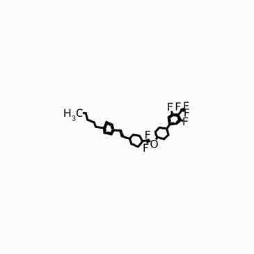 CCCCCc1ccc(/C=C/C2CCC(C(F)(F)OC3CCC(c4cc(F)c(C(F)(F)F)c(F)c4)CC3)CC2)cc1